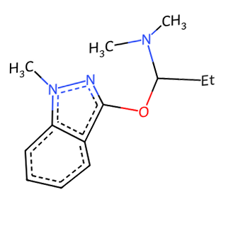 CCC(Oc1nn(C)c2ccccc12)N(C)C